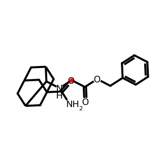 NC(=O)C12CC3CC(C1)C(NCC(=O)OCc1ccccc1)C(C3)C2